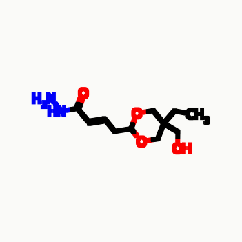 CCC1(CO)COC(CC=CC(=O)NN)OC1